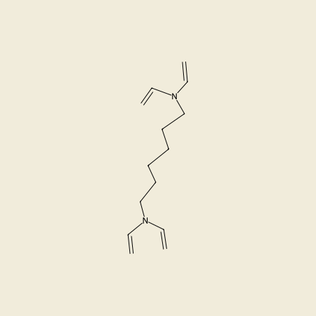 C=CN(C=C)CCCCCCN(C=C)C=C